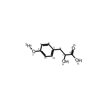 [2H]Oc1ccc(CC(O)C(=O)O)cc1